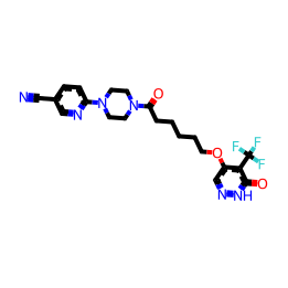 N#Cc1ccc(N2CCN(C(=O)CCCCCOc3cn[nH]c(=O)c3C(F)(F)F)CC2)nc1